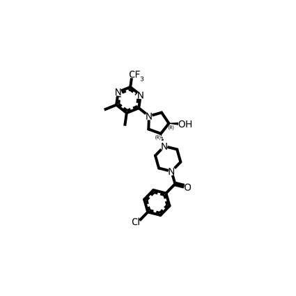 Cc1nc(C(F)(F)F)nc(N2C[C@@H](O)[C@H](N3CCN(C(=O)c4ccc(Cl)cc4)CC3)C2)c1C